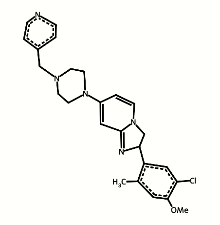 COc1cc(C)c(C2CN3C=CC(N4CCN(Cc5ccncc5)CC4)=CC3=N2)cc1Cl